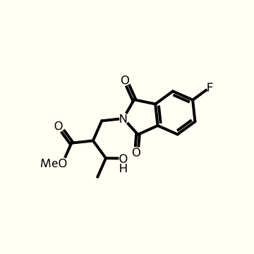 COC(=O)C(CN1C(=O)c2ccc(F)cc2C1=O)C(C)O